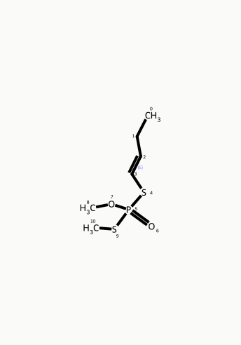 CC/C=C/SP(=O)(OC)SC